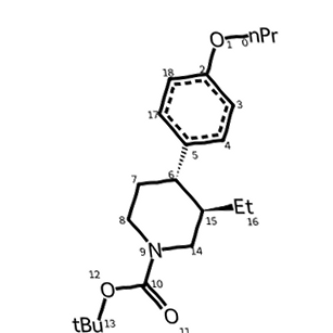 CCCOc1ccc([C@H]2CCN(C(=O)OC(C)(C)C)C[C@@H]2CC)cc1